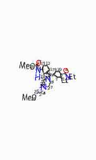 CCN(CC)C(=O)c1ccc([C@@H](c2cccc(NC(=O)OC)c2)N2CCN(CCOC)CC2)cc1